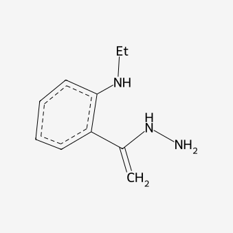 C=C(NN)c1ccccc1NCC